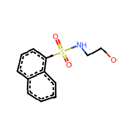 [O]CCNS(=O)(=O)c1cccc2ccccc12